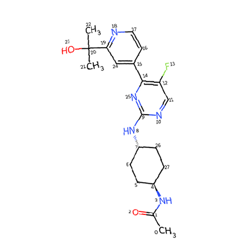 CC(=O)N[C@H]1CC[C@H](Nc2ncc(F)c(-c3ccnc(C(C)(C)O)c3)n2)CC1